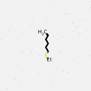 C=CCCCCS[CH]C